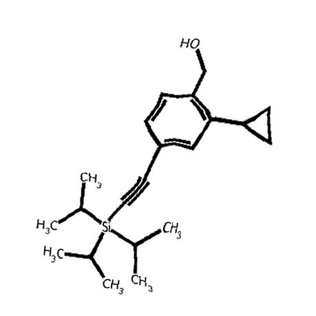 CC(C)[Si](C#Cc1ccc(CO)c(C2CC2)c1)(C(C)C)C(C)C